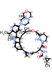 CCn1c(-c2cc(N3CCN4CCOC[C@@H]4C3)cnc2[C@H](C)OC)c2c3cc(ccc31)-c1csc(n1)C[C@H](NC(=O)[C@@H]1C[C@H]1C#N)C(=O)N1CCC[C@@H](COCC(C)(C)C2)N1